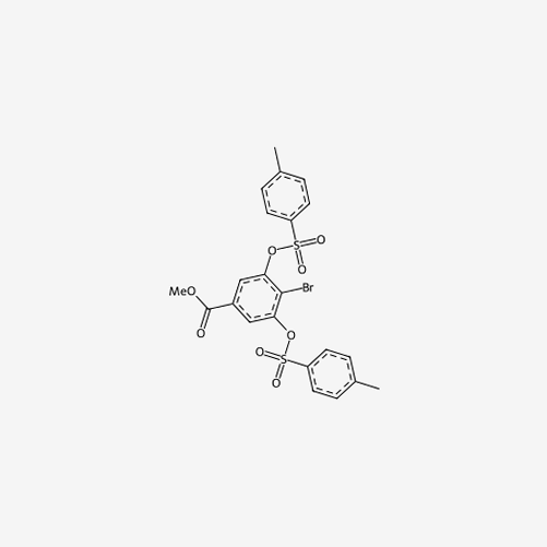 COC(=O)c1cc(OS(=O)(=O)c2ccc(C)cc2)c(Br)c(OS(=O)(=O)c2ccc(C)cc2)c1